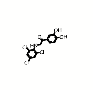 O=C(CNc1c(Cl)cc(Cl)cc1Cl)c1ccc(O)c(O)c1